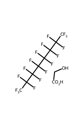 FC(F)(F)C(F)(F)C(F)(F)C(F)(F)C(F)(F)C(F)(F)C(F)(F)C(F)(F)F.O=C(O)CO